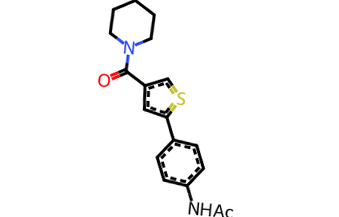 CC(=O)Nc1ccc(-c2cc(C(=O)N3CCCCC3)cs2)cc1